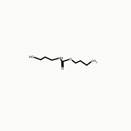 CCCCOC(=O)NCCCO